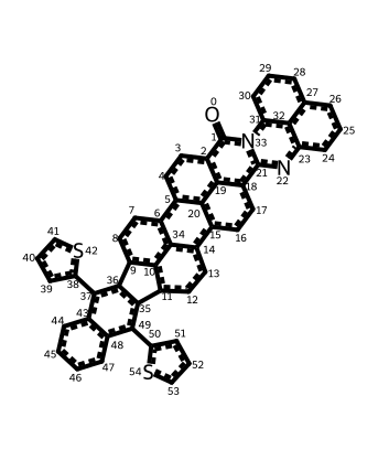 O=c1c2ccc3c4ccc5c6c(ccc(c7ccc(c2c37)c2nc3cccc7cccc(c73)n12)c64)-c1c-5c(-c2cccs2)c2ccccc2c1-c1cccs1